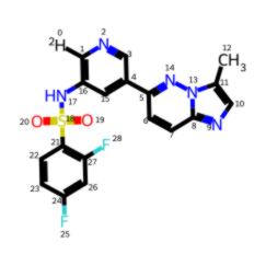 [2H]c1ncc(-c2ccc3ncc(C)n3n2)cc1NS(=O)(=O)c1ccc(F)cc1F